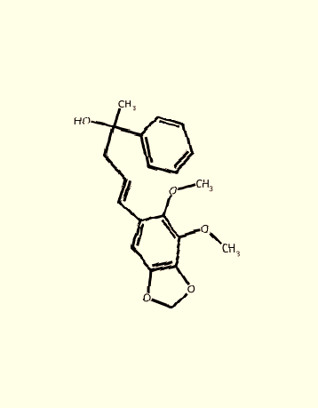 COc1c(/C=C/CC(C)(O)c2ccccc2)cc2c(c1OC)OCO2